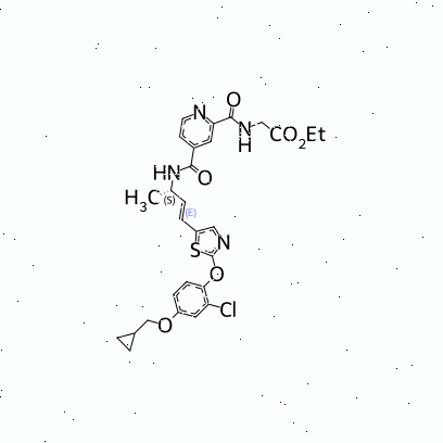 CCOC(=O)CNC(=O)c1cc(C(=O)N[C@@H](C)/C=C/c2cnc(Oc3ccc(OCC4CC4)cc3Cl)s2)ccn1